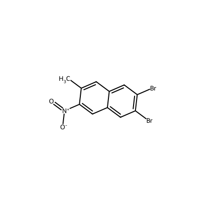 Cc1cc2cc(Br)c(Br)cc2cc1[N+](=O)[O-]